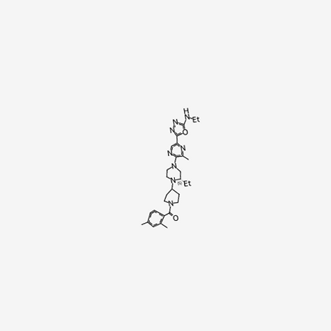 CCNc1nnc(-c2cnc(N3CCN(C4CCN(C(=O)c5ccc(C)cc5C)CC4)[C@@H](CC)C3)c(C)n2)o1